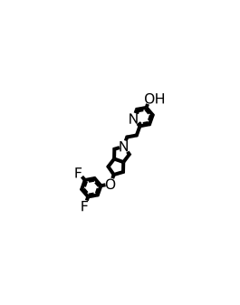 Oc1ccc(CCN2CC3CC(Oc4cc(F)cc(F)c4)CC3C2)nc1